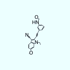 CCn1c(C#Cc2cccc(NC=O)c2)c(C#N)c2ccc(OC)cc21